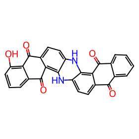 O=c1c2ccccc2c(=O)c2c1ccc1[nH]c3c(ccc4c(=O)c5c(O)cccc5c(=O)c43)[nH]c12